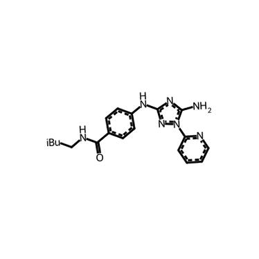 CCC(C)CNC(=O)c1ccc(Nc2nc(N)n(-c3ccccn3)n2)cc1